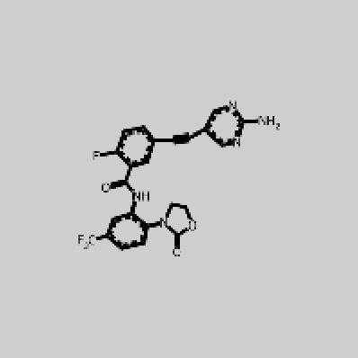 Nc1ncc(C#Cc2ccc(F)c(C(=O)Nc3cc(C(F)(F)F)ccc3N3CCOC3=O)c2)cn1